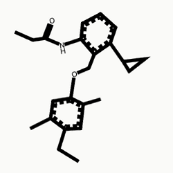 CCC(=O)Nc1cccc(C2CC2)c1COc1cc(C)c(CC)cc1C